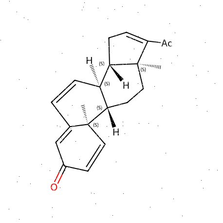 CC(=O)C1=CC[C@H]2[C@@H]3C=CC4=CC(=O)C=C[C@]4(C)[C@H]3CC[C@]12C